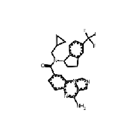 Nc1nc2ccc(C(=O)N(CC3CC3)[C@@H]3CCc4cc(C(F)(F)F)ccc43)cc2n2cncc12